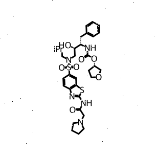 CC(C)CN(C[C@@H](O)[C@H](Cc1ccccc1)NC(=O)O[C@H]1CCOC1)S(=O)(=O)c1ccc2nc(NC(=O)CN3CCCC3)sc2c1